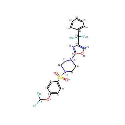 O=S(=O)(c1ccc(OC(F)F)cc1)N1CCN(c2nc(C(F)(F)c3ccccc3)no2)CC1